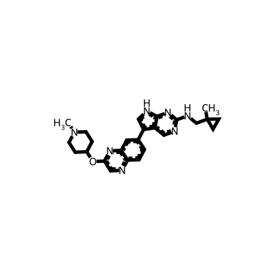 CN1CCC(Oc2cnc3ccc(-c4c[nH]c5nc(NCC6(C)CC6)ncc45)cc3n2)CC1